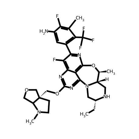 CC[C@@H]1CN2c3nc(OC[C@]45CCN(C)C4COC5)nc4c(F)c(-c5cc(N)c(F)c(C)c5C(F)(F)F)nc(c34)O[C@@H](C)[C@@H]2CN1